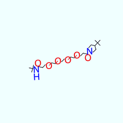 CC(C)(C)NC(=O)CCOCCOCCOCCOCCC(=O)N1CCC(C(C)(C)C)CC1